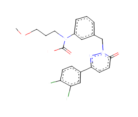 COCCCN(C(=O)O)c1cccc(Cn2nc(-c3ccc(F)c(F)c3)ccc2=O)c1